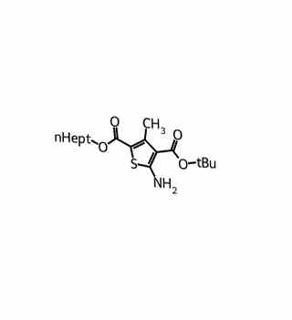 CCCCCCCOC(=O)c1sc(N)c(C(=O)OC(C)(C)C)c1C